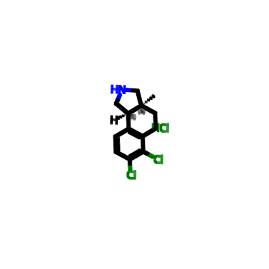 C[C@]12CCc3c(ccc(Cl)c3Cl)[C@H]1CNC2.Cl